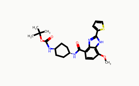 COc1ccc(C(=O)N[C@H]2CC[C@H](NC(=O)OC(C)(C)C)CC2)c2nc(-c3cccs3)[nH]c12